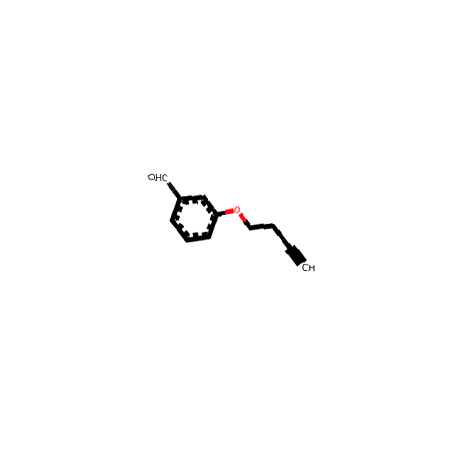 C#CCCOc1cccc(C=O)c1